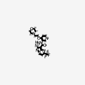 Nc1nn2ccc(C(F)(F)F)nc2c1C(=O)Nc1cnccc1OCCN1CCOCC1